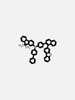 CC1(C)c2cc(N(c3ccc(-c4ccccc4)cc3)c3ccc(-c4ccc5ccccc5c4-c4ccc5c(c4)oc4ccccc45)cc3)ccc2C2C=CC=CC21